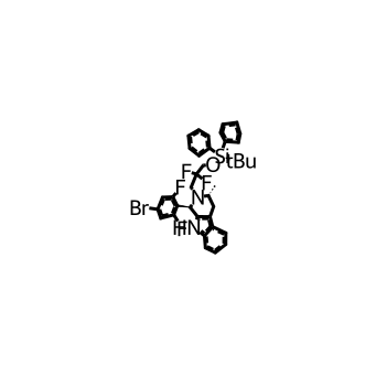 C[C@@H]1Cc2c([nH]c3ccccc23)[C@@H](c2c(F)cc(Br)cc2F)N1CC(F)(F)CO[Si](c1ccccc1)(c1ccccc1)C(C)(C)C